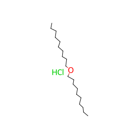 CCCCCCCCCCOCCCCCCCCCC.Cl